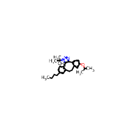 CCCCc1ccc2c(c1)CCc1cc(OC(C)C)ccc1-c1nnn(C(C)(C)C)c1-2